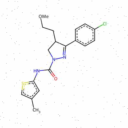 COCCC1CN(C(=O)Nc2cc(C)cs2)N=C1c1ccc(Cl)cc1